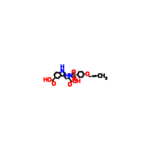 CC#CCOc1ccc(S(=O)(=O)NC(Cc2c[nH]c3ccc(C(=O)O)cc23)C(=O)O)cc1